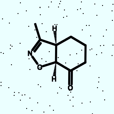 CC1=NO[C@@H]2C(=O)CCC[C@H]12